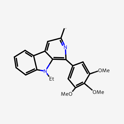 [CH2]c1cc2c3ccccc3n(CC)c2c(-c2cc(OC)c(OC)c(OC)c2)n1